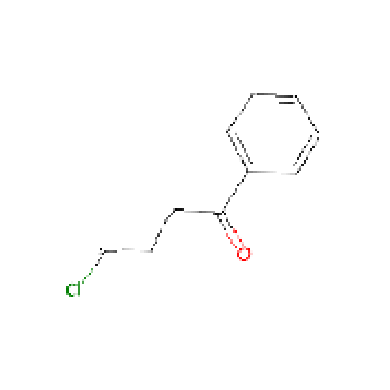 O=C(CC[C]Cl)c1ccccc1